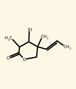 C/C=C/C1(C)COC(=O)C(C)C1CC